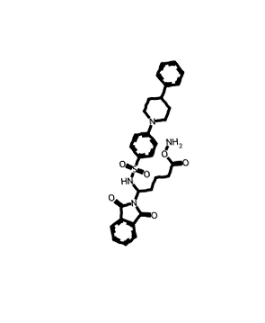 NOC(=O)CCCC(NS(=O)(=O)c1ccc(N2CCC(c3ccccc3)CC2)cc1)N1C(=O)c2ccccc2C1=O